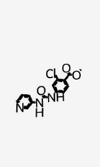 COC(=O)c1ccc(NC(=O)Nc2cccnc2)cc1Cl